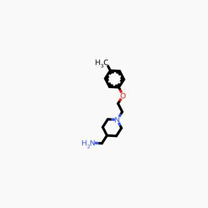 Cc1ccc(OCCN2CCC(CN)CC2)cc1